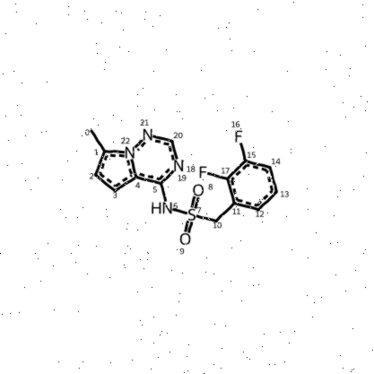 Cc1ccc2c(NS(=O)(=O)Cc3cccc(F)c3F)ncnn12